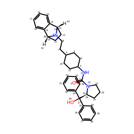 O=C(NC1CCC(CCN2[C@@H]3CC[C@H]2c2ccccc23)CC1)N1CCC[C@H]1C(O)(c1ccccc1)c1ccccc1